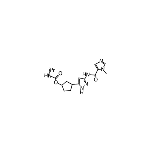 CC(C)NC(=O)OC1CCC(c2cc(NC(=O)c3cncn3C)n[nH]2)C1